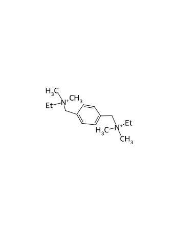 CC[N+](C)(C)Cc1ccc(C[N+](C)(C)CC)cc1